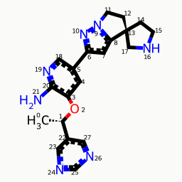 C[C@H](Oc1cc(-c2cc3n(n2)CC[C@]32CCNC2)cnc1N)c1cncnc1